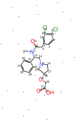 CN(C(=O)Cc1ccc(Cl)c(Cl)c1)C(CN1CC[C@H](OCC(=O)O)C1)c1ccccc1